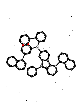 c1ccc(-c2ccccc2N(c2cccc(-c3cccc4ccccc34)c2)c2ccc3c4c(-c5cccc6ccccc56)cccc4n(-c4ccccc4)c3c2)cc1